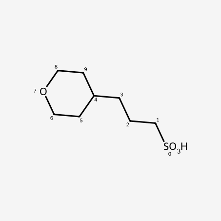 O=S(=O)(O)CCCC1CCOCC1